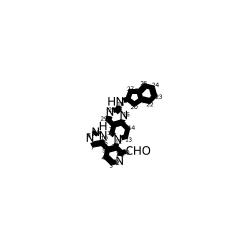 O=Cc1nccc(-c2cnn[nH]2)c1N1CCc2nc(NC3Cc4ccccc4C3)ncc2C1